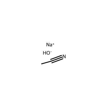 CC#N.[Na+].[OH-]